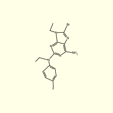 CCN(c1ccc(F)cc1)c1nc(N)c2nc(Br)n(CC)c2n1